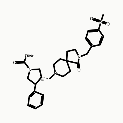 COC(=O)N1CC(c2ccccc2)[C@@H](CN2CCC3(CC2)CCN(Cc2ccc(S(C)(=O)=O)cc2)C3=O)C1